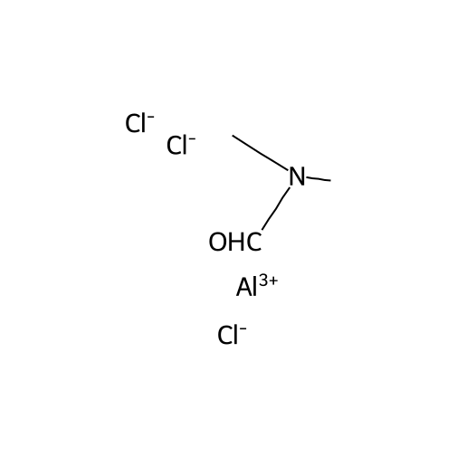 CN(C)C=O.[Al+3].[Cl-].[Cl-].[Cl-]